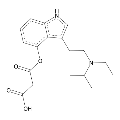 CCN(CCc1c[nH]c2cccc(OC(=O)CC(=O)O)c12)C(C)C